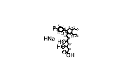 CCC1CC(c2ccc(F)cc2)=C(/C=C/C(O)CC(O)CC(=O)O)C1CC.[NaH]